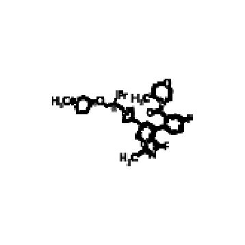 Cc1nc(F)c2c(-c3ccc(F)cc3C(=O)N3CCOC[C@H]3C)cc(C3CN([C@H](CO[C@@H]4CCN(C)C4)C(C)C)C3)cn12